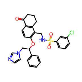 O=C1CCCc2c1ccc(O[C@H](Cn1ccnc1)c1ccccc1)c2CNS(=O)(=O)c1cccc(Cl)c1